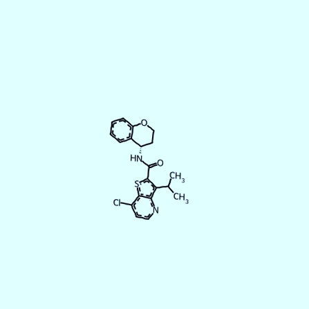 CC(C)c1c(C(=O)N[C@H]2CCOc3ccccc32)sc2c(Cl)ccnc12